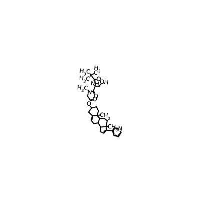 CN(CC(=O)OC1CCC2(C)C(=CCC3C2CCC2(C)C(c4cccnc4)=CCC32)C1)C(=O)C(CO)NC(=O)C(C)(C)C